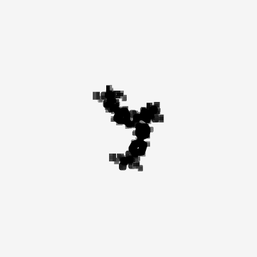 CC(C)(Oc1ccc(-c2cccc(N(CC34CCC(c5noc(C(C)(C)F)n5)(CC3)CC4)C(=O)C3CC(O)(C(F)(F)F)C3)c2)cc1)C(N)=O